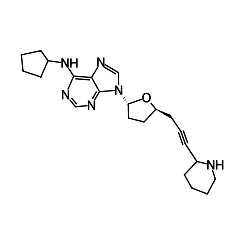 C(#CC1CCCCN1)C[C@H]1CC[C@H](n2cnc3c(NC4CCCC4)ncnc32)O1